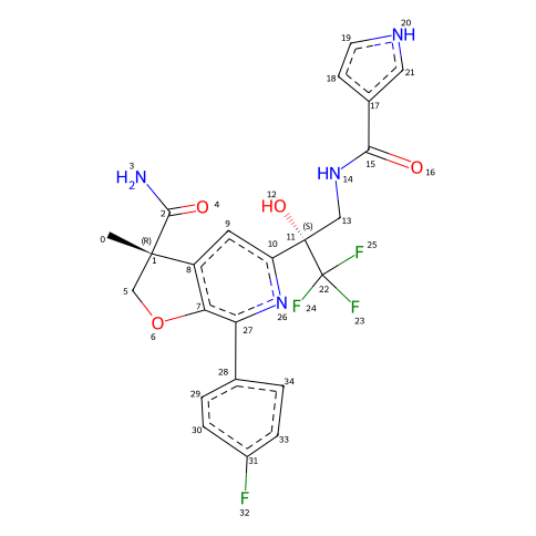 C[C@]1(C(N)=O)COc2c1cc([C@@](O)(CNC(=O)c1cc[nH]c1)C(F)(F)F)nc2-c1ccc(F)cc1